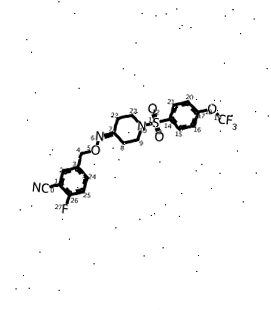 N#Cc1cc(CON=C2CCN(S(=O)(=O)c3ccc(OC(F)(F)F)cc3)CC2)ccc1F